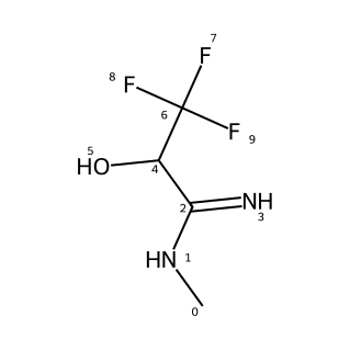 CNC(=N)C(O)C(F)(F)F